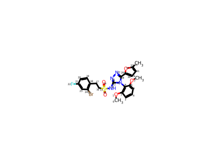 COc1cccc(OC)c1-n1c(NS(=O)(=O)CCc2ccc(F)cc2Br)nnc1-c1ccc(C)o1